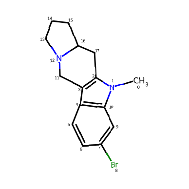 Cn1c2c(c3ccc(Br)cc31)CN1CCCC1C2